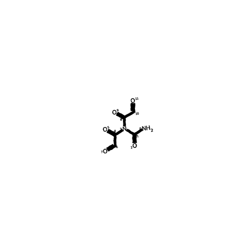 NC(=O)N(C(=O)C=O)C(=O)C=O